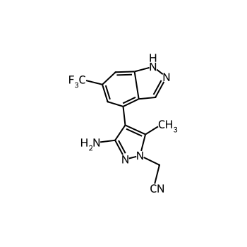 Cc1c(-c2cc(C(F)(F)F)cc3[nH]ncc23)c(N)nn1CC#N